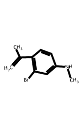 C=C(C)c1ccc(NC)cc1Br